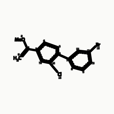 C=C(OC)c1ccc(-c2cccc(Br)c2)c(Cl)c1